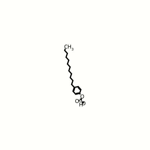 CCCCCCCCCCCCc1ccc(O[SH](=O)=O)cc1